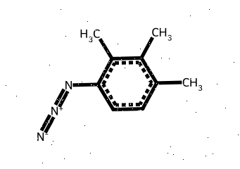 Cc1ccc(N=[N+]=[N-])c(C)c1C